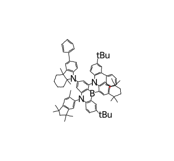 Cc1cc2c(cc1N1c3ccc(C(C)(C)C)cc3B3c4cc5c(cc4N(c4ccc(C(C)(C)C)cc4-c4ccccc4)c4cc(N6c7ccc(-c8ccccc8)cc7C7(C)CCCCC67C)cc1c43)C(C)(C)CCC5(C)C)C(C)(C)CC2(C)C